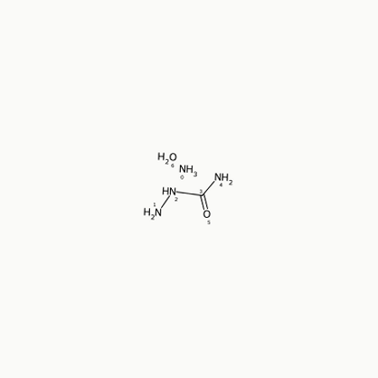 N.NNC(N)=O.O